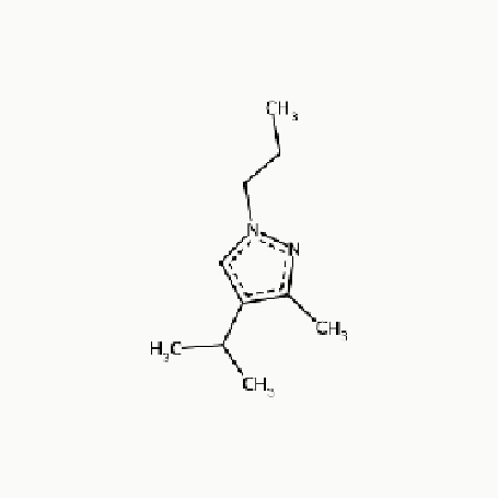 CCCn1cc(C(C)C)c(C)n1